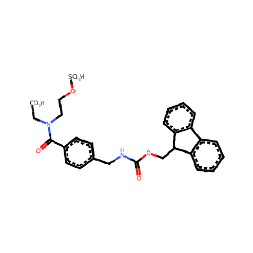 O=C(O)CN(CCOS(=O)(=O)O)C(=O)c1ccc(CNC(=O)OCC2c3ccccc3-c3ccccc32)cc1